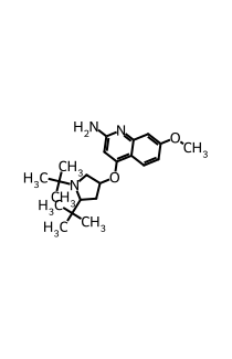 COc1ccc2c(OC3CC(C(C)(C)C)N(C(C)(C)C)C3)cc(N)nc2c1